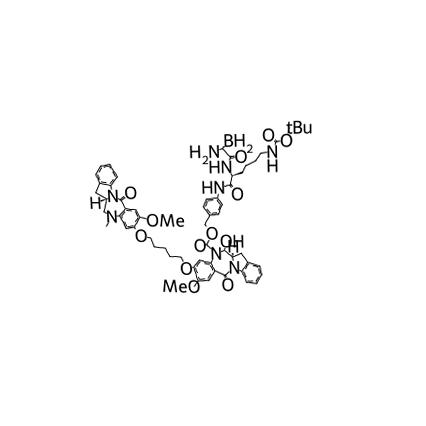 B[C@H](N)C(=O)N[C@@H](CCCCNC(=O)OC(C)(C)C)C(=O)Nc1ccc(COC(=O)N2c3cc(OCCCCCOc4cc5c(cc4OC)C(=O)N4c6ccccc6C[C@H]4CN5C)c(OC)cc3C(=O)N3c4ccccc4C[C@H]3C2O)cc1